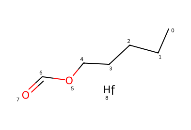 CCCCCOC=O.[Hf]